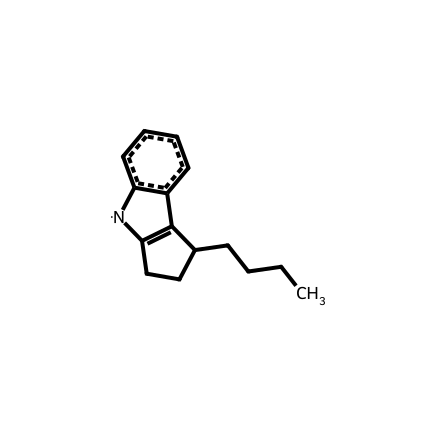 CCCCC1CCC2=C1c1ccccc1[N]2